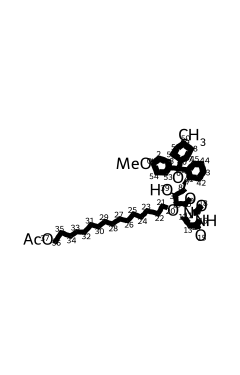 COc1ccc(C(OC[C@H]2O[C@@H](n3ccc(=O)[nH]c3=O)[C@H](OCCCCCCCCCCCCCCCCOC(C)=O)[C@@H]2O)(c2ccccc2)c2ccc(C)cc2)cc1